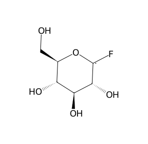 OC[C@H]1O[C](F)[C@H](O)[C@@H](O)[C@@H]1O